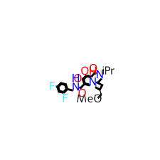 COC[C@H]1C[C@]2(CN(C(C)C)C(=O)c3c(O)c(=O)c(C(=O)NCc4ccc(F)cc4F)cn32)C1